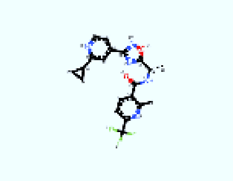 Cc1nc(C(F)(F)F)ccc1C(=O)N[C@@H](C)c1nc(-c2ccnc(C3CC3)c2)no1